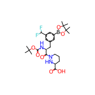 CC(C)(C)OC(=O)N[C@@H](Cc1cc(B2OC(C)(C)C(C)(C)O2)cc(C(F)F)c1)C(=O)N1CCCC(C(=O)O)N1